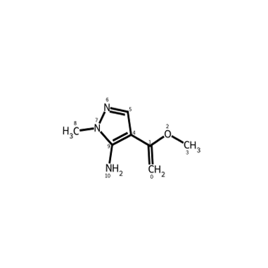 C=C(OC)c1cnn(C)c1N